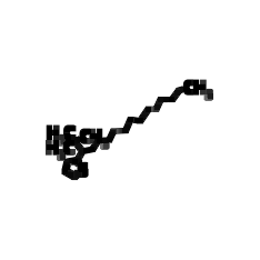 CCCCCCCCCCCCCC(c1cccs1)C(C)(C)C